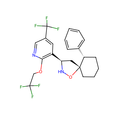 FC(F)(F)COc1ncc(C(F)(F)F)cc1[C@H]1C[C@@]2(CCCC[C@H]2c2ccccc2)ON1